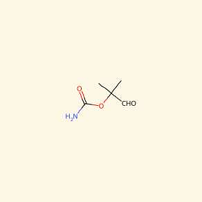 CC(C)(C=O)OC(N)=O